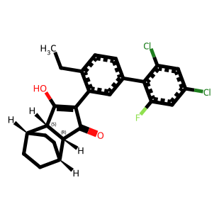 CCc1ccc(-c2c(F)cc(Cl)cc2Cl)cc1C1=C(O)[C@H]2[C@H]3CC[C@H](CC3)[C@H]2C1=O